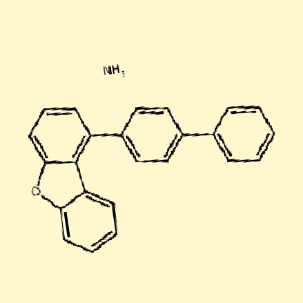 N.c1ccc(-c2ccc(-c3cccc4oc5ccccc5c34)cc2)cc1